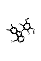 COc1cc(OC)c(Cl)c(-n2c3nc(C)c(C)cc3c3c(N)ncnc32)c1Cl